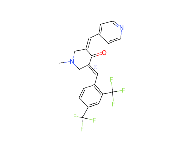 CN1CC(=Cc2ccncc2)C(=O)/C(=C/c2ccc(C(F)(F)F)cc2C(F)(F)F)C1